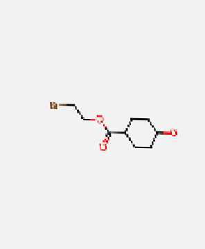 O=C1CCC(C(=O)OCCBr)CC1